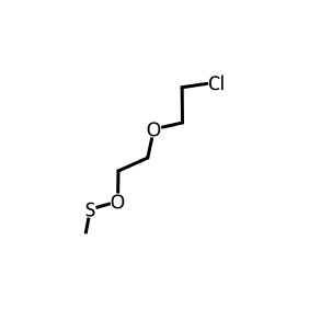 CSOCCOCCCl